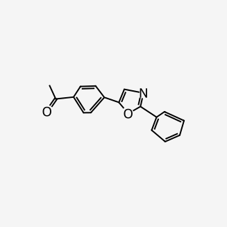 CC(=O)c1ccc(-c2cnc(-c3ccccc3)o2)cc1